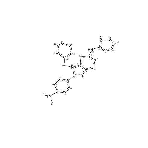 CN(C)c1ccc(-c2cc3cnc(Nc4ccncn4)cc3n2Cc2ccccc2)cc1